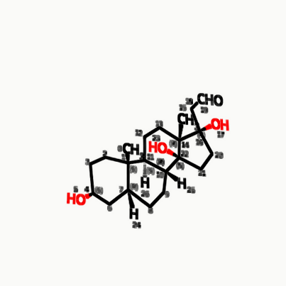 C[C@]12CC[C@H](O)C[C@H]1CC[C@@H]1[C@@H]2CC[C@]2(C)[C@](O)(CC=O)CC[C@]12O